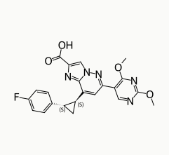 COc1ncc(-c2cc([C@H]3C[C@@H]3c3ccc(F)cc3)c3nc(C(=O)O)cn3n2)c(OC)n1